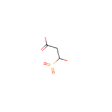 O=C(O)CC(O)P(=O)=O